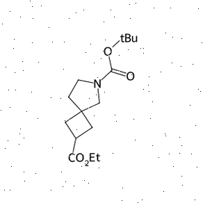 CCOC(=O)C1CC2(CCN(C(=O)OC(C)(C)C)C2)C1